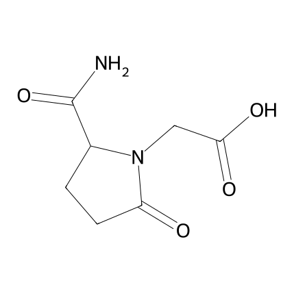 NC(=O)C1CCC(=O)N1CC(=O)O